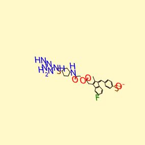 CC1=C(CC(=O)OCC(=O)NC2CCC(SN/C(N)=N/C(=N)N(C)C)CC2)c2cc(F)ccc2/C1=C\c1ccc([S+](C)[O-])cc1